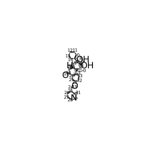 CC[C@@]12C[C@@](C)(O)[C@](O)(c3ccccc3)C[C@@H]1CC(=O)c1cc(OCc3cccnc3C)ccc12